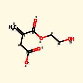 C=C(CC([O])=O)C(=O)OCCO